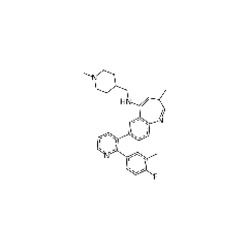 Cc1cc(-c2ncccc2-c2ccc3c(c2)C(NCC2CCN(C)CC2)=CC(C)C=N3)ccc1F